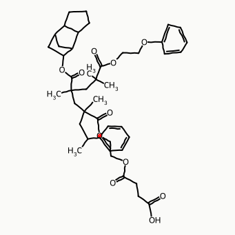 CC(CC(C)(CC(C)(CC(C)(C)C(=O)OCCOc1ccccc1)C(=O)OC1CC2CC1C1CCCC21)C(=O)OCCOC(=O)CCC(=O)O)c1ccccc1